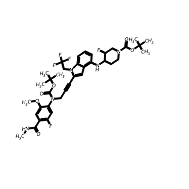 CNC(=O)c1cc(OC)c(N(CC#Cc2cc3c(NC4CCN(C(=O)OC(C)(C)C)CC4F)cccc3n2CC(F)(F)F)C(=O)OC(C)(C)C)cc1F